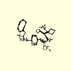 CN(C(=O)C1(N(C)C)CCC1)[C@@H](c1ccc(NC2Cc3ccccc3C2(C)C)nc1)C(F)(F)F